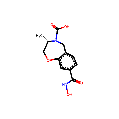 C[C@H]1COc2cc(C(=O)NO)ccc2CN1C(=O)O